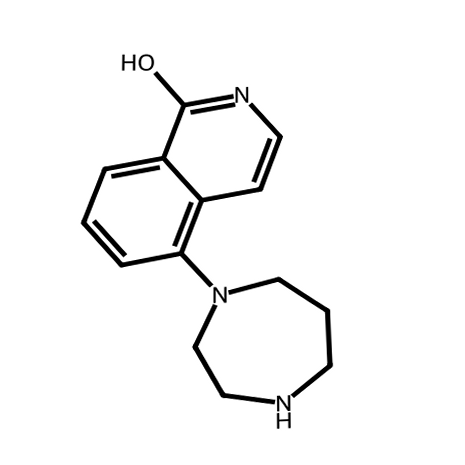 Oc1nccc2c(N3CCCNCC3)cccc12